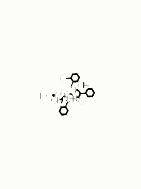 Cc1c(-c2ccccc2F)c(=O)n(C[C@@H](NC(=O)OC(C)(C)C)c2ccccc2)c(=O)n1Cc1ccccc1Cl